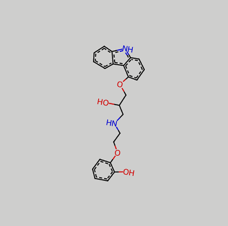 Oc1ccccc1OCCNCC(O)COc1cccc2[nH]c3ccccc3c12